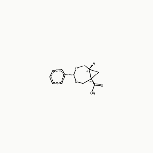 O=C(O)[C@@]12COC(c3ccccc3)OC[C@@H]1C2